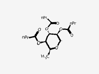 CCCC(=O)O[C@H]1[C@H](OC(=O)CCC)[C@@H](OC(=O)CCC)[CH]O[C@H]1C